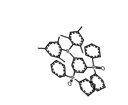 Cc1cc(C)c(B(c2cc(P(=O)(c3ccccc3)c3ccccc3)cc(P(=O)(c3ccccc3)c3ccccc3)c2)c2c(C)cc(C)cc2C)c(C)c1